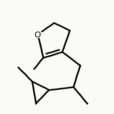 CC1=C(CC(C)C2CC2C)CCO1